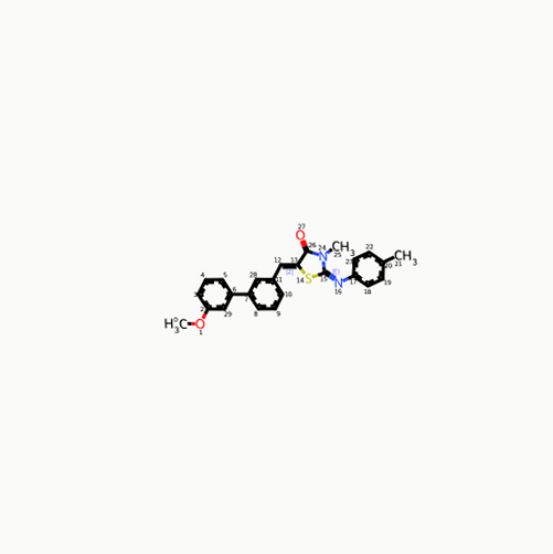 COc1cccc(-c2cccc(/C=C3\S/C(=N/c4ccc(C)cc4)N(C)C3=O)c2)c1